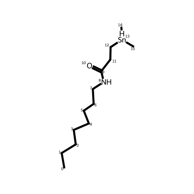 CCCCCCCCNC(=O)C[CH2][SnH]([CH3])[CH3]